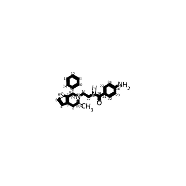 C[C@@H]1Cc2ccsc2[C@H](c2ccccc2)N1CCNC(=O)c1ccc(N)cc1